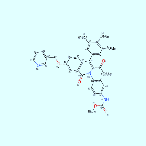 COC(=O)c1c(-c2cc(OC)c(OC)c(OC)c2)c2ccc(OCc3cccnc3)cc2c(=O)n1-c1ccc(NC(=O)OC(C)(C)C)cc1